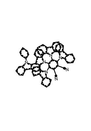 N#Cc1c(C#N)c(-n2c3ccccc3c3ccccc32)c(-n2c3ccccc3c3c2ccc2c4ccccc4n(-c4ccccc4)c23)c(-n2c3ccccc3c3ccccc32)c1-n1c2ccccc2c2ccccc21